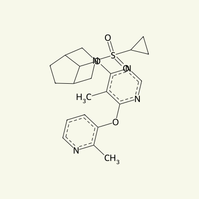 Cc1ncccc1Oc1ncnc(OC2C3CCC2CN(S(=O)(=O)C2CC2)C3)c1C